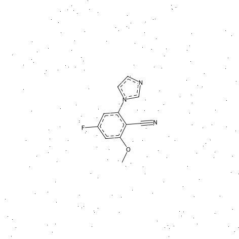 COc1cc(F)cc(-n2ccnc2)c1C#N